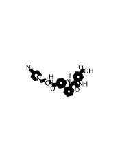 N#CC1CCN(CCONC(=O)c2ccc(NC(=C3C(=O)Nc4cc(C(=O)O)ccc43)c3ccccc3)cc2)CC1